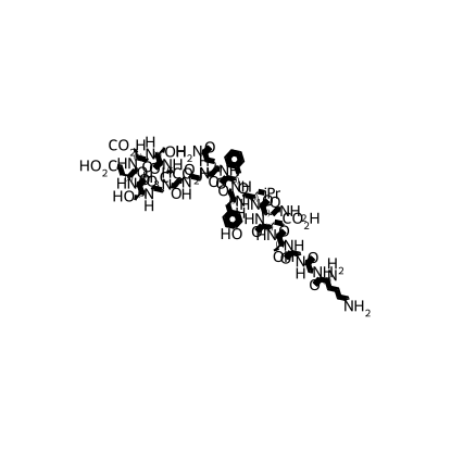 CC(C)C[C@H](NC(=O)[C@H](CC(N)=O)NC(=O)[C@H](CCC(=O)O)NC(=O)[C@H](CO)NC(=O)CNC(=O)CNC(=O)[C@@H](N)CCCCN)C(=O)N[C@@H](Cc1ccc(O)cc1)C(=O)N[C@@H](Cc1ccccc1)C(=O)N[C@@H](CCC(N)=O)C(=O)NCC(=O)NCC(=O)NCC(=O)N[C@@H](CO)C(=O)N[C@@H](CCC(=O)O)C(=O)N[C@@H](CC(=O)O)C(=O)N[C@@H](CO)C(=O)N[C@@H](C)C(=O)O